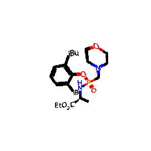 CCOC(=O)[C@H](C)NP(=O)(CN1CCOCC1)Oc1c(C(C)CC)cccc1C(C)CC